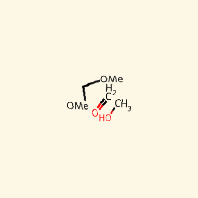 C=O.CO.COCOC